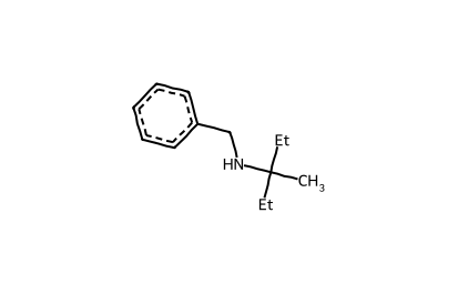 CCC(C)(CC)NCc1ccccc1